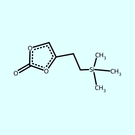 C[Si](C)(C)CCc1coc(=O)o1